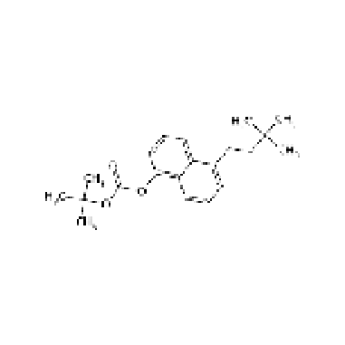 CC(C)(C)CCc1cccc2c(OC(=O)OC(C)(C)C)cccc12